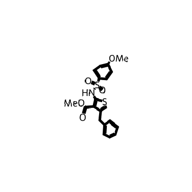 COC(=O)c1c(Cc2ccccc2)csc1NS(=O)(=O)c1ccc(OC)cc1